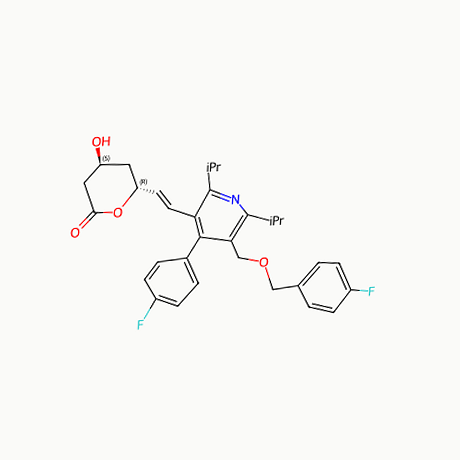 CC(C)c1nc(C(C)C)c(COCc2ccc(F)cc2)c(-c2ccc(F)cc2)c1C=C[C@H]1C[C@H](O)CC(=O)O1